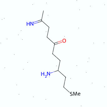 CSCCC(N)CCC(=O)CCC(C)=N